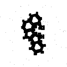 Clc1cccc2ccc3sc4c5ccccc5[nH]c4c3c12